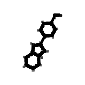 COc1ccc(-c2nc3cnccc3o2)cc1